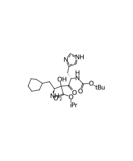 CC(C)OC(=O)C(O)(C(=O)[C@H](Cc1c[nH]cn1)NC(=O)OC(C)(C)C)[C@@H](N)CC1CCCCC1